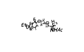 CCOc1nc2ccc(O[C@H]3C[C@@H](OCC(C)NC(C)=O)C3)c(F)c2s1